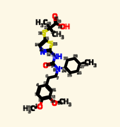 COc1ccc(CCN(C(=O)Nc2ncc(SC(C)(C)C(=O)O)s2)[C@H]2CC[C@H](C)CC2)cc1OC